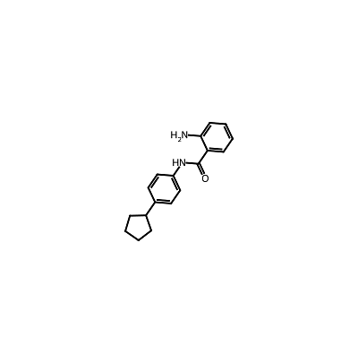 Nc1ccccc1C(=O)Nc1ccc(C2CCCC2)cc1